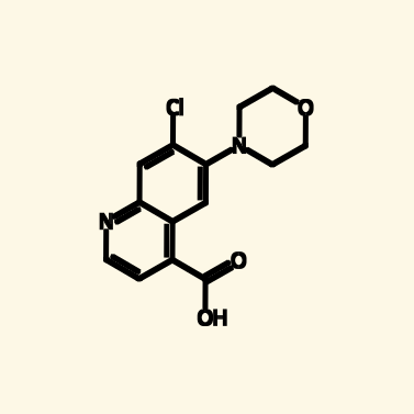 O=C(O)c1ccnc2cc(Cl)c(N3CCOCC3)cc12